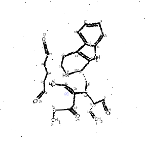 C=C[C@@H](C=O)[C@H](C[C@@H]1NCCc2c1[nH]c1ccccc21)/C(=C/O)C(=O)OC.O=CCCCC=O